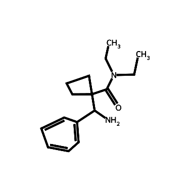 CCN(CC)C(=O)C1(C(N)c2ccccc2)CCC1